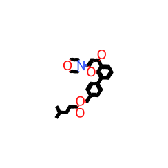 CC(C)CCC(=O)OCc1ccc(-c2cccc3c(=O)cc(N4CCOCC4)oc23)cc1